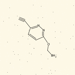 BCOc1ccc(C#C)nn1